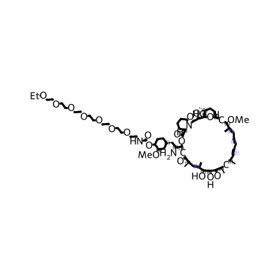 CCOCCOCCOCCOCCOCCOCCOCCNC(=O)OC1CC[C@@H](C[C@@H](N)[C@@H]2CC(=O)[C@H](C)/C=C(\C)[C@@H](O)[C@@H](O)C(=O)[C@H](C)C[C@H](C)/C=C/C=C/C=C(\C)[C@@H](OC)C[C@@H]3CC[C@@H](C)[C@@](O)(O3)C(=O)C(=O)N3CCCC[C@H]3C(=O)O2)C[C@H]1OC